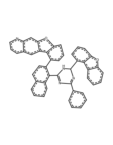 c1ccc(C2=NC(c3cccc4oc5ccccc5c34)NC(c3c(-c4cccc5oc6cc7ncccc7cc6c45)ccc4ccccc34)=N2)cc1